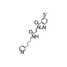 CSc1ccc2ncn(/C=C/C(=O)NCCCCc3cccnc3)c(=O)c2c1